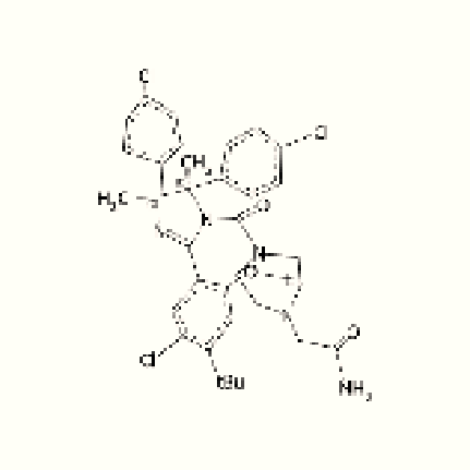 CCOc1cc(C(C)(C)C)c(Cl)cc1C1=N[C@@](C)(c2ccc(Cl)cc2)[C@@](C)(c2ccc(Cl)cc2)N1C(=O)N1CCN(CC(N)=O)CC1